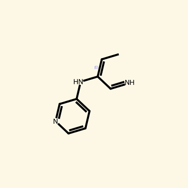 C/C=C(\C=N)Nc1cccnc1